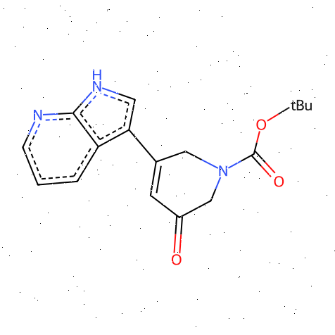 CC(C)(C)OC(=O)N1CC(=O)C=C(c2c[nH]c3ncccc23)C1